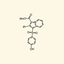 COC(=O)c1c(C(C)C)c(S(=O)(=O)c2ccc(O)cc2)c2ccccn12